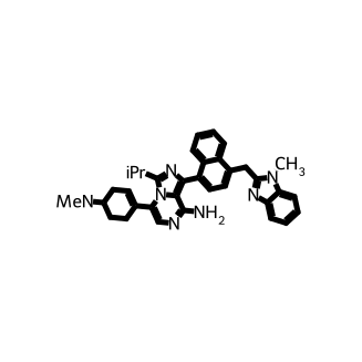 CNC1CC=C(c2cnc(N)c3c(-c4ccc(Cc5nc6ccccc6n5C)c5ccccc45)nc(C(C)C)n23)CC1